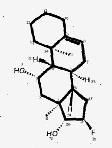 C[C@]12C[C@H](O)[C@H]3[C@@H](CC=C4CCCC[C@@]43C)[C@@H]1C[C@@H](F)[C@@H]2O